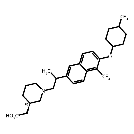 CC(CN1CCC[C@H](CC(=O)O)C1)c1ccc2c(C(F)(F)F)c(OC3CCC(C(F)(F)F)CC3)ccc2c1